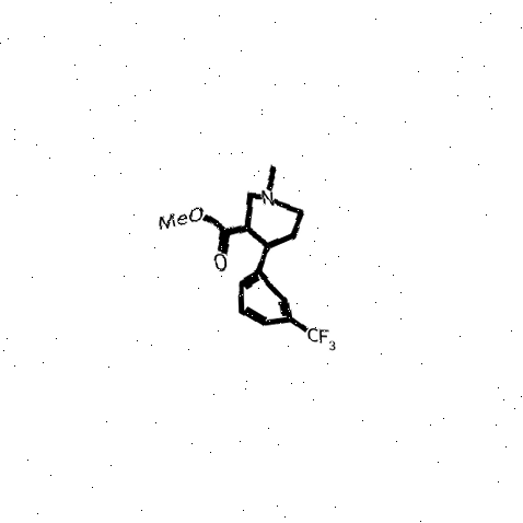 COC(=O)C1CN(C)CCC1c1cccc(C(F)(F)F)c1